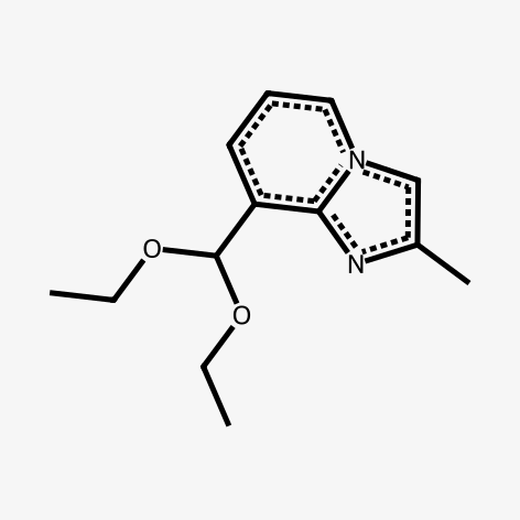 CCOC(OCC)c1cccn2cc(C)nc12